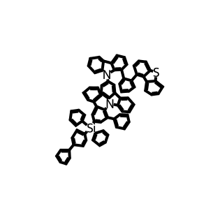 c1ccc(-c2ccc([Si](c3ccccc3)(c3ccccc3)c3cc(-c4ccccc4)c(-n4c5ccccc5c5cc(-n6c7ccccc7c7cccc(-c8ccccc8-c8cccc9sc%10ccccc%10c89)c76)ccc54)c(-c4ccccc4)c3)cc2)cc1